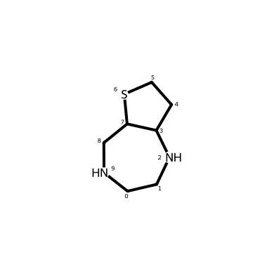 C1CNC2CCSC2CN1